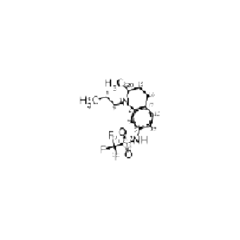 CCCN1c2cc(NS(=O)(=O)C(F)(F)F)ccc2CCC1C